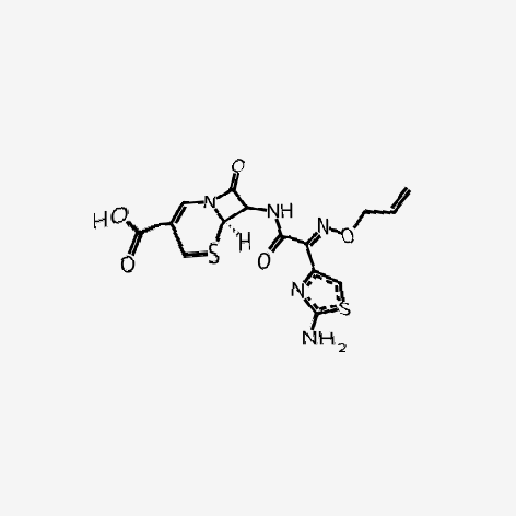 C=CCON=C(C(=O)NC1C(=O)N2C=C(C(=O)O)CS[C@H]12)c1csc(N)n1